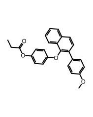 CCC(=O)Oc1ccc(Oc2c(-c3ccc(OC)cc3)ccc3ccccc23)cc1